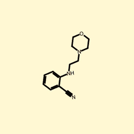 N#Cc1ccccc1NCCN1CCOCC1